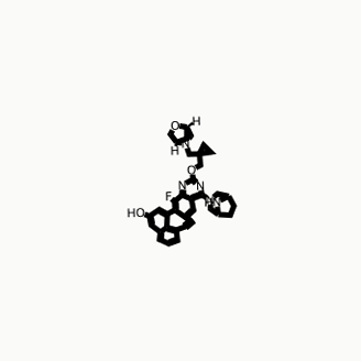 C#Cc1cccc2cc(O)cc(-c3ccc4c(N5CC6CCC(C5)N6)nc(OCC5(CN6C[C@@H]7C[C@H]6CO7)CC5)nc4c3F)c12